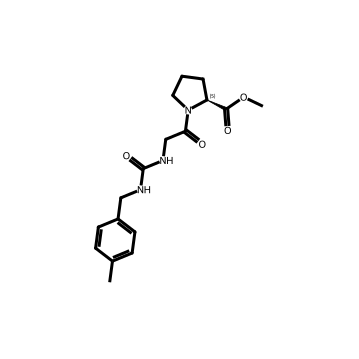 COC(=O)[C@@H]1CCCN1C(=O)CNC(=O)NCc1ccc(C)cc1